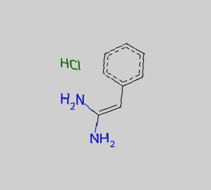 Cl.NC(N)=Cc1ccccc1